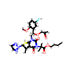 CCCCOC(=O)C(C)(C)n1c(=O)c2c(C)c(-n3nccn3)sc2n(C[C@H](OCC(C)=O)c2cc(F)ccc2OC)c1=O